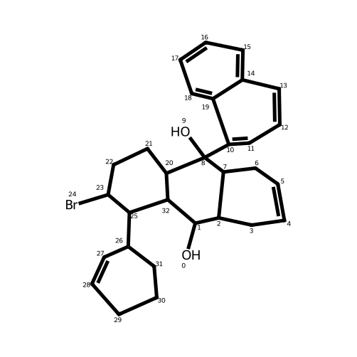 OC1C2CC=CCC2C(O)(c2cccc3ccccc23)C2CCC(Br)C(C3C=CCCC3)C12